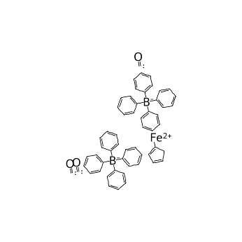 [C]=O.[C]=O.[C]=O.[Fe+2][C]1=CC=CC1.c1ccc([B-](c2ccccc2)(c2ccccc2)c2ccccc2)cc1.c1ccc([B-](c2ccccc2)(c2ccccc2)c2ccccc2)cc1